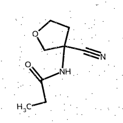 CCC(=O)NC1(C#N)CCOC1